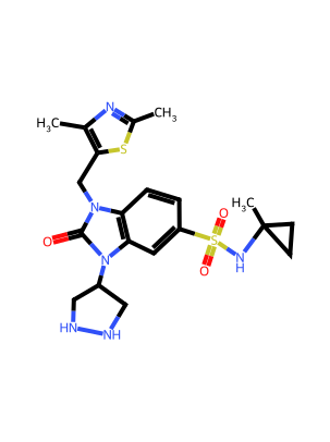 Cc1nc(C)c(Cn2c(=O)n(C3CNNC3)c3cc(S(=O)(=O)NC4(C)CC4)ccc32)s1